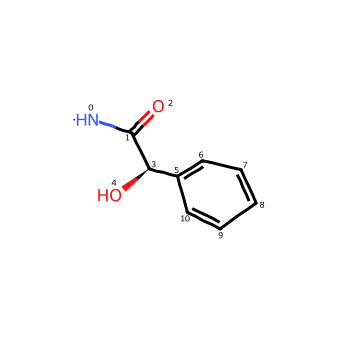 [NH]C(=O)[C@H](O)c1ccccc1